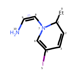 CCC1C=CC(I)=CN1/C=C\N